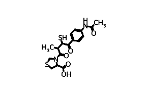 CC(=O)Nc1ccc(C(=O)C(S)C(C)C(=O)N2CSCC2C(=O)O)cc1